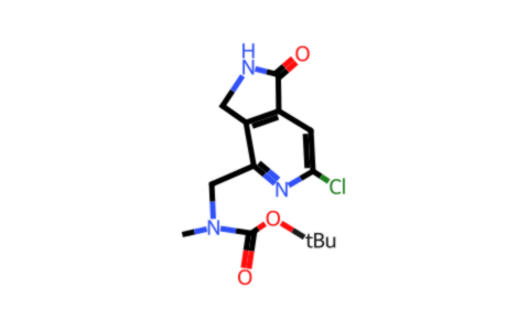 CN(Cc1nc(Cl)cc2c1CNC2=O)C(=O)OC(C)(C)C